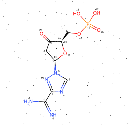 N=C(N)c1ncn([C@H]2CC(=O)[C@@H](COP(=O)(O)O)O2)n1